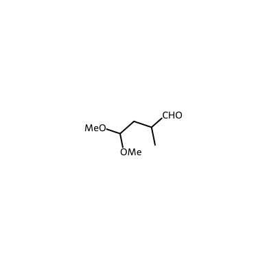 COC(CC(C)C=O)OC